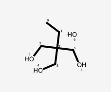 CCC(CO)(CO)CO.[OH]